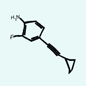 Nc1ccc(C#CC2CC2)cc1F